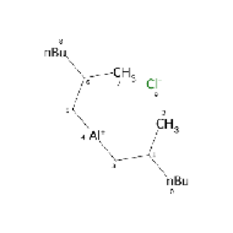 CCCCC(C)[CH2][Al+][CH2]C(C)CCCC.[Cl-]